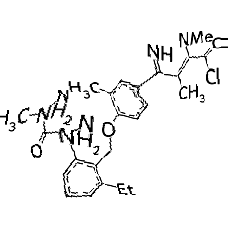 CCc1cccc(N(N)C(=O)N(C)N)c1COc1ccc(C(=N)/C(C)=C(\NC)C(=O)Cl)cc1C